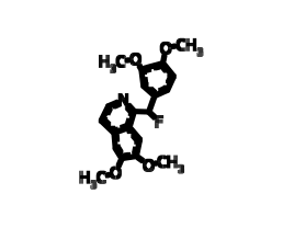 COc1ccc(C(F)c2nccc3cc(OC)c(OC)cc23)cc1OC